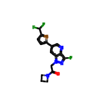 O=C(Cn1nc(F)c2ncc(-c3ccc(C(F)F)s3)cc21)N1CCC1